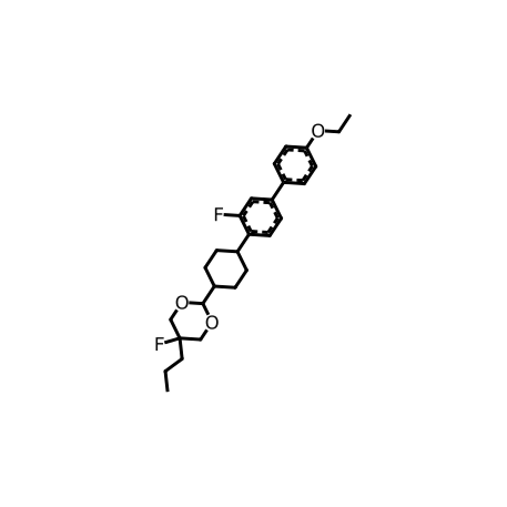 CCCC1(F)COC(C2CCC(c3ccc(-c4ccc(OCC)cc4)cc3F)CC2)OC1